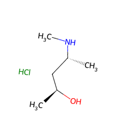 CN[C@H](C)C[C@H](C)O.Cl